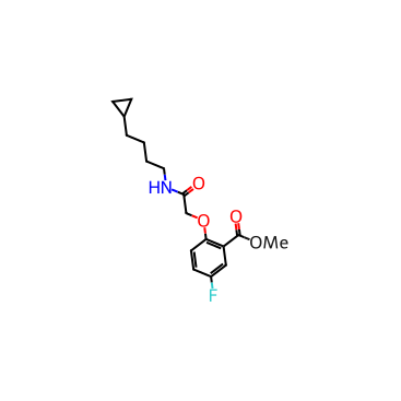 COC(=O)c1cc(F)ccc1OCC(=O)NCCCCC1CC1